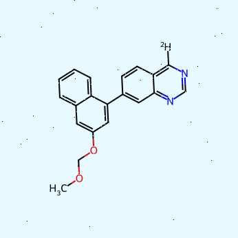 [2H]c1ncnc2cc(-c3cc(OCOC)cc4ccccc34)ccc12